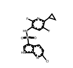 O=S(=O)(Nc1cc(F)c(C2CC2)nc1F)c1c[nH]c2nc(Cl)ccc12